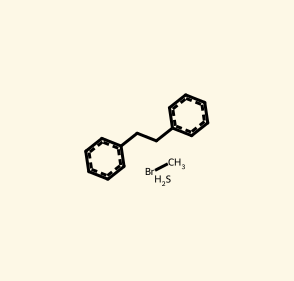 CBr.S.c1ccc(CCc2ccccc2)cc1